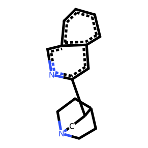 c1ccc2cc(C3CN4CCC3CC4)ncc2c1